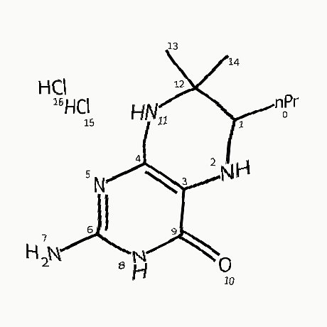 CCCC1Nc2c(nc(N)[nH]c2=O)NC1(C)C.Cl.Cl